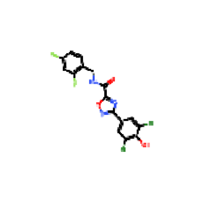 O=C(NCc1ccc(F)cc1F)c1nc(-c2cc(Cl)c(O)c(Cl)c2)no1